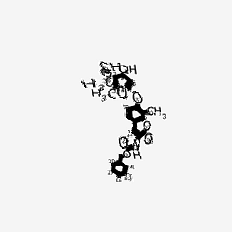 CO[C@@H]1[C@@H](O)C[C@H](Oc2ccc3cc(NC(=O)OCc4ccccc4)c(=O)oc3c2C)OC1(C)C